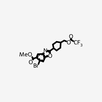 COC(=O)c1cc2nc(C3CCC(COC(=O)C(F)(F)F)CC3)oc2cc1Br